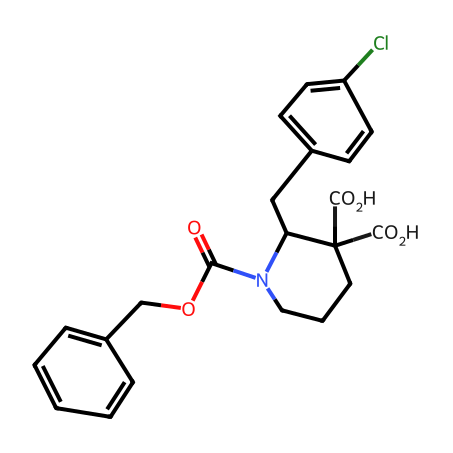 O=C(OCc1ccccc1)N1CCCC(C(=O)O)(C(=O)O)C1Cc1ccc(Cl)cc1